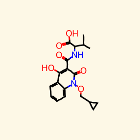 CC(C)C(NC(=O)c1c(O)c2ccccc2n(OCC2CC2)c1=O)C(=O)O